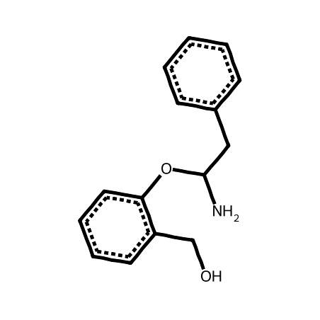 NC(Cc1ccccc1)Oc1ccccc1CO